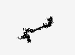 C[C@H](NC(=O)c1cccc(NC2(c3nnc(-c4ccncc4)[nH]3)CCN(C)CC2)c1)c1ccc(OCCCCCOCCCOCC(=O)Nc2cccc3c2CN(C2CCC(=O)NC2=O)C3=O)cc1